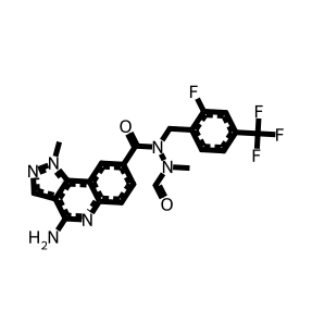 CN(C=O)N(Cc1ccc(C(F)(F)F)cc1F)C(=O)c1ccc2nc(N)c3cnn(C)c3c2c1